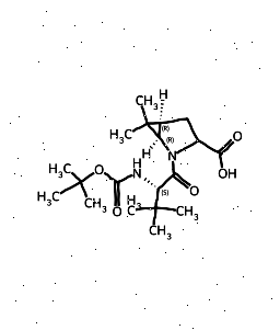 CC(C)(C)OC(=O)N[C@H](C(=O)N1C(C(=O)O)C[C@H]2[C@@H]1C2(C)C)C(C)(C)C